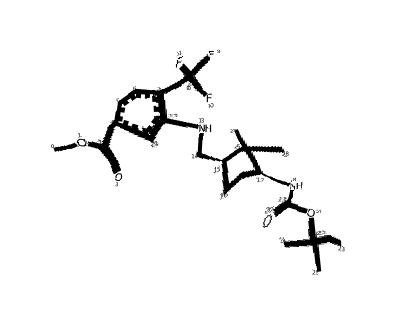 COC(=O)c1ccc(C(F)(F)F)c(NC[C@@H]2C[C@H](NC(=O)OC(C)(C)C)C2(C)C)c1